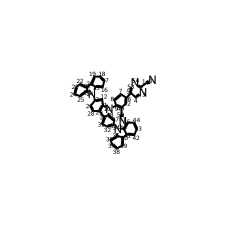 N#Cc1ncc(-c2ccc(-n3c4cc(-n5c6ccccc6c6ccccc65)ccc4c4ccc(-n5c6ccccc6c6ccccc65)cc43)c(C#N)c2)cn1